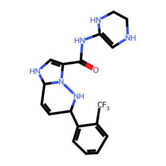 O=C(NC1=CNCCN1)C1=CNC2C=CC(c3ccccc3C(F)(F)F)NN12